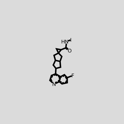 O=C(NI)C1CC12CC1CC(c3ccnc4ccc(F)cc34)CC1C2